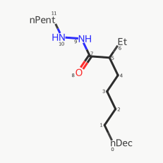 CCCCCCCCCCCCCCC(CC)C(=O)NNCCCCC